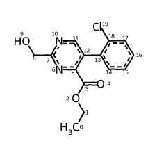 CCOC(=O)c1nc(CO)ncc1-c1ccccc1Cl